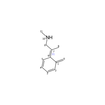 C=c1cccc/c1=C(/C)CNC